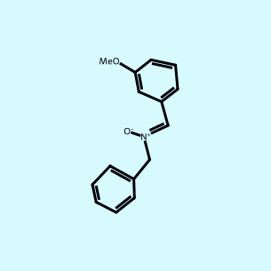 COc1cccc(C=[N+]([O-])Cc2ccccc2)c1